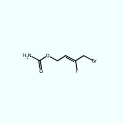 NC(=O)OCC=C(F)CBr